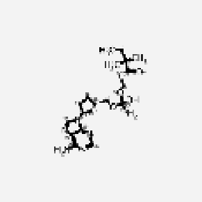 CCC(C)(C)C(=O)OCOC(O)(P)OC[C@@H]1CCC(n2cnc3c(N)ncnc32)O1